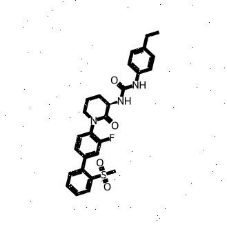 CCc1ccc(NC(=O)N[C@@H]2CCCN(c3ccc(-c4ccccc4S(C)(=O)=O)cc3F)C2=O)cc1